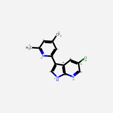 Cc1cc(C(F)(F)F)cc(-c2c[nH]c3ncc(Cl)cc23)n1